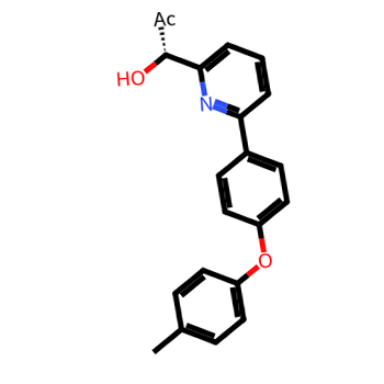 CC(=O)[C@@H](O)c1cccc(-c2ccc(Oc3ccc(C)cc3)cc2)n1